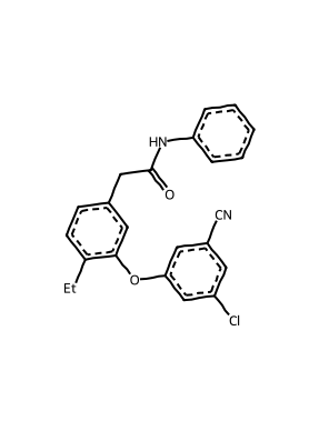 CCc1ccc(CC(=O)Nc2ccccc2)cc1Oc1cc(Cl)cc(C#N)c1